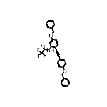 O=C(Nc1cc(OCc2ccccc2)ccc1C#Cc1ccc(OCc2ccccc2)cc1)C(F)(F)F